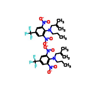 C=C(C)CN(CCC)c1c([N+](=O)[O-])cc(C(F)(F)F)cc1[N+](=O)[O-].C=C(C)CN(CCC)c1c([N+](=O)[O-])cc(C(F)(F)F)cc1[N+](=O)[O-]